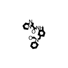 Cc1ccc(CN(C=O)c2ccccc2)cc1NC(=O)c1cnc2ccccn12